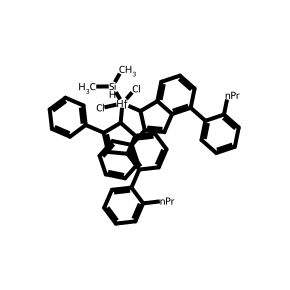 CCCc1ccccc1-c1cccc2c1C=C(c1ccccc1)[CH]2[Hf]([Cl])([Cl])([CH]1C(c2ccccc2)=Cc2c(-c3ccccc3CCC)cccc21)[SiH](C)C